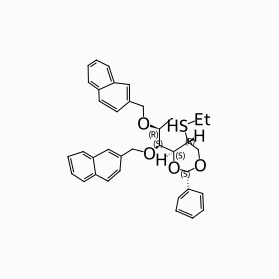 CC[SH]1C[C@H](OCc2ccc3ccccc3c2)[C@H](OCc2ccc3ccccc3c2)[C@@H]2O[C@@H](c3ccccc3)OC[C@H]21